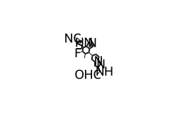 Cc1c(F)c(SCC#N)c2[nH]ncc2c1-c1ccn2nc(NC=O)cc2c1